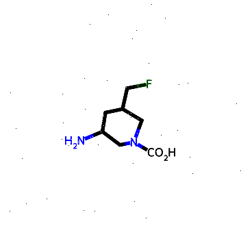 NC1CC(CF)CN(C(=O)O)C1